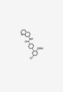 COc1ccc(Cl)cc1-c1ccc(C(=O)Nc2ccc3cccnc3c2)cc1